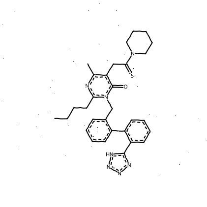 CCCCc1nc(C)c(CC(=S)N2CCCCC2)c(=O)n1Cc1ccccc1-c1ccccc1-c1nnn[nH]1